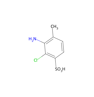 Cc1ccc(S(=O)(=O)O)c(Cl)c1N